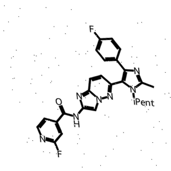 CCCC(C)n1c(C)nc(-c2ccc(F)cc2)c1-c1ccc2nc(NC(=O)c3ccnc(F)c3)cn2n1